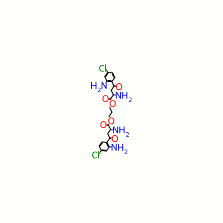 Nc1cc(Cl)ccc1C(=O)CC(N)C(=O)OCCCOC(=O)C(N)CC(=O)c1ccc(Cl)cc1N